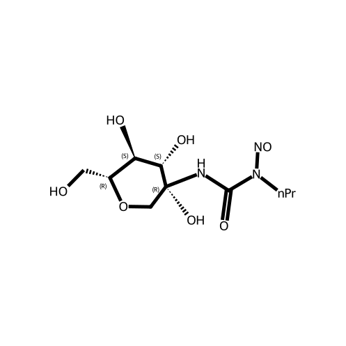 CCCN(N=O)C(=O)N[C@@]1(O)CO[C@H](CO)[C@@H](O)[C@@H]1O